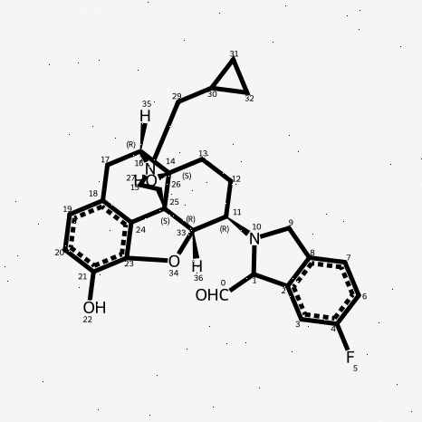 O=CC1c2cc(F)ccc2CN1[C@@H]1CC[C@@]2(O)[C@H]3Cc4ccc(O)c5c4[C@@]2(CCN3CC2CC2)[C@H]1O5